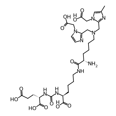 Cc1cn(CC(=O)O)c(CN(CCCC[C@H](N)C(=O)NCCCC[C@H](NC(=O)N[C@@H](CCC(=O)O)C(=O)O)C(=O)O)Cc2nccn2CC(=O)O)n1